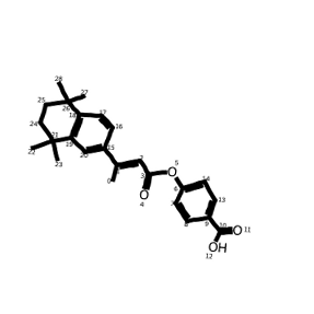 CC(=CC(=O)Oc1ccc(C(=O)O)cc1)c1ccc2c(c1)C(C)(C)CCC2(C)C